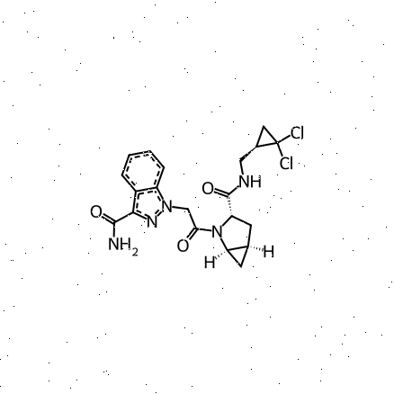 NC(=O)c1nn(CC(=O)N2[C@@H]3C[C@@H]3C[C@H]2C(=O)NC[C@H]2CC2(Cl)Cl)c2ccccc12